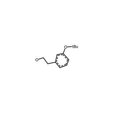 CC(C)(C)Oc1cccc(CC[O])c1